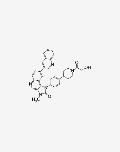 Cn1c(=O)n(-c2ccc(C3CCN(C(=O)CO)CC3)cc2)c2c3cc(-c4cnc5ccccc5c4)ccc3ncc21